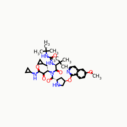 COc1ccc2c(O[C@H]3CN[C@H](C(=O)N(C(=O)[C@@H](NC(=O)NC(C)(C)C)C(C)(C)C)[C@@H](CC4CC4)C(=O)C(=O)NC4CC4)C3)nccc2c1